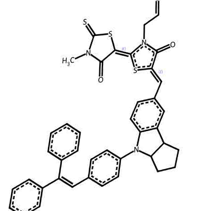 CN1C(=O)/C(=c2\s/c(=C\c3ccc4c(c3)C3CCCC3N4c3ccc(C=C(c4ccccc4)c4ccccc4)cc3)c(=O)n2CC=O)SC1=S